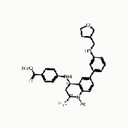 COC(=O)c1ccc(N[C@@H]2C[C@H](C)N(C(C)=O)c3ccc(-c4cccc(NCC5CCOC5)c4)cc32)cc1